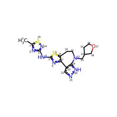 Cc1nc(Nc2nc3c(s2)CCN(CC2CCOC2)c2[nH]ncc2-3)ns1